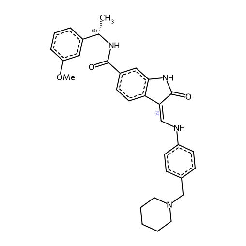 COc1cccc([C@H](C)NC(=O)c2ccc3c(c2)NC(=O)/C3=C\Nc2ccc(CN3CCCCC3)cc2)c1